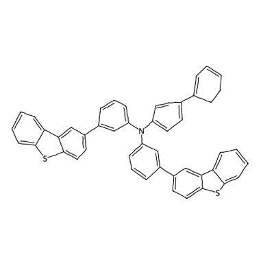 C1=CCCC(c2ccc(N(c3cccc(-c4ccc5sc6ccccc6c5c4)c3)c3cccc(-c4ccc5sc6ccccc6c5c4)c3)cc2)=C1